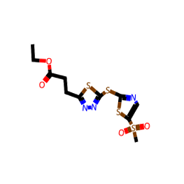 CCOC(=O)CCc1nnc(Sc2ncc(S(C)(=O)=O)s2)s1